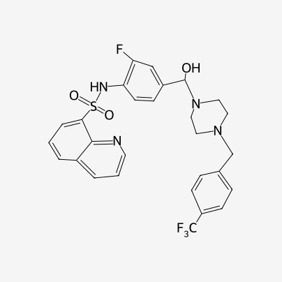 O=S(=O)(Nc1ccc(C(O)N2CCN(Cc3ccc(C(F)(F)F)cc3)CC2)cc1F)c1cccc2cccnc12